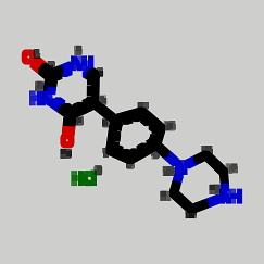 Cl.O=c1[nH]cc(-c2ccc(N3CCNCC3)cc2)c(=O)[nH]1